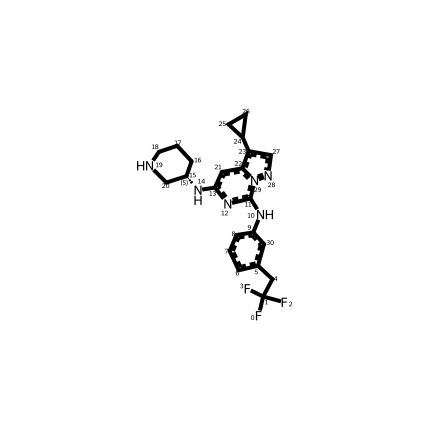 FC(F)(F)Cc1cccc(Nc2nc(N[C@H]3CCCNC3)cc3c(C4CC4)cnn23)c1